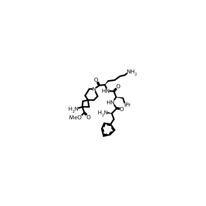 COC(=O)C1(N)CC2(CCN(C(=O)[C@@H](CCCCN)NC(=O)[C@@H](CC(C)C)NC(=O)[C@H](N)Cc3ccccc3)CC2)C1